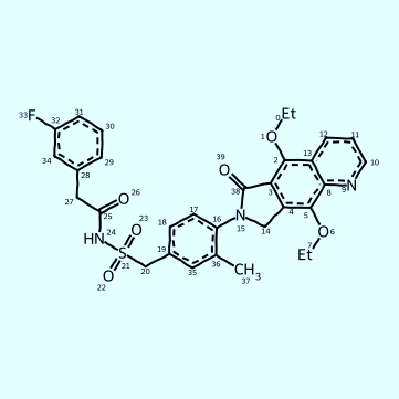 CCOc1c2c(c(OCC)c3ncccc13)CN(c1ccc(CS(=O)(=O)NC(=O)Cc3cccc(F)c3)cc1C)C2=O